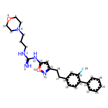 N=C(NCCCN1CCOCC1)Nc1cc(CCc2ccc(-c3ccccc3)c(F)c2)no1